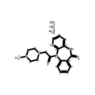 CN1CCN(CC(=O)N2c3ccccc3C(=O)Nc3cccnc32)CC1.Cl.Cl.O